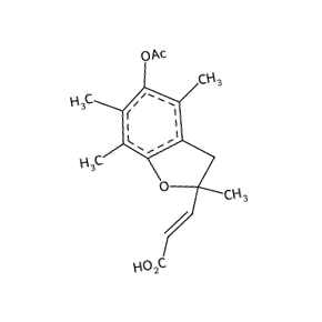 CC(=O)Oc1c(C)c(C)c2c(c1C)CC(C)(C=CC(=O)O)O2